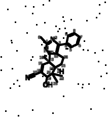 Cc1nc(-c2ccccc2)c2c(n1)[C@@]1(C)C=C(C#N)C(O)C(C)(C)[C@@H]1CC2